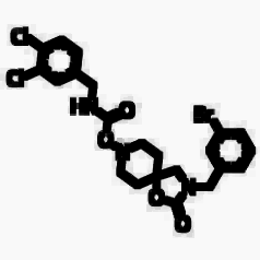 O=C(NCc1ccc(Cl)c(Cl)c1)ON1CCC2(CC1)CN(Cc1cccc(Br)c1)C(=O)O2